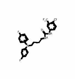 O=C(NCCCCN(c1ccc(F)cc1)c1ccc(F)cc1)Nc1ccc(Cl)c(C(F)(F)F)c1